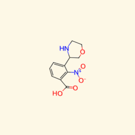 O=C(O)c1cccc(C2COCCN2)c1[N+](=O)[O-]